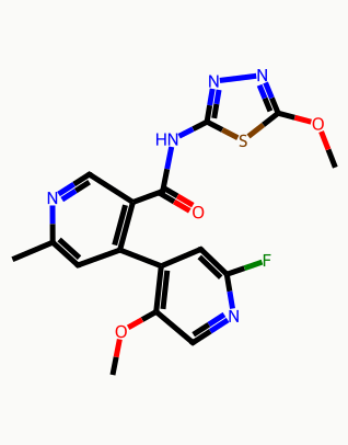 COc1nnc(NC(=O)c2cnc(C)cc2-c2cc(F)ncc2OC)s1